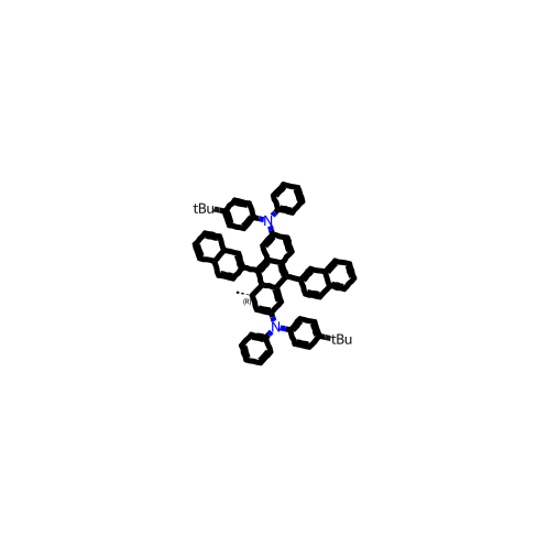 C[C@H]1C=C(N(c2ccccc2)c2ccc(C(C)(C)C)cc2)C=C2C(c3ccc4ccccc4c3)=c3ccc(N(c4ccccc4)c4ccc(C(C)(C)C)cc4)cc3=C(C3=CC4C=CC=CC4C=C3)C21